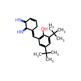 CC(C)(C)c1cc(C=C2CC=CC(=N)C2=N)c(O)c(C(C)(C)C)c1